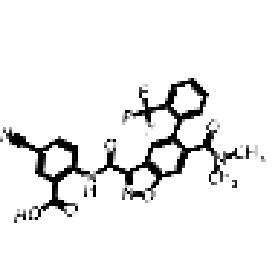 CN(C)C(=O)c1cc2onc(C(=O)Nc3ccc(C#N)cc3C(=O)O)c2cc1-c1ccccc1C(F)(F)F